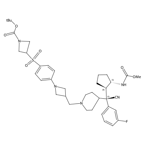 COC(=O)N[C@H]1CCC[C@@H]1[C@](C#N)(c1cccc(F)c1)C1CCN(CC2CN(c3ccc(S(=O)(=O)C4CN(C(=O)OC(C)(C)C)C4)cc3)C2)CC1